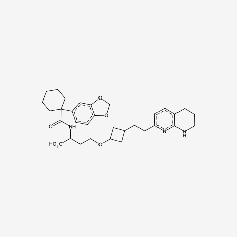 O=C(O)C(CCOC1CC(CCc2ccc3c(n2)NCCC3)C1)NC(=O)C1(c2ccc3c(c2)OCO3)CCCCC1